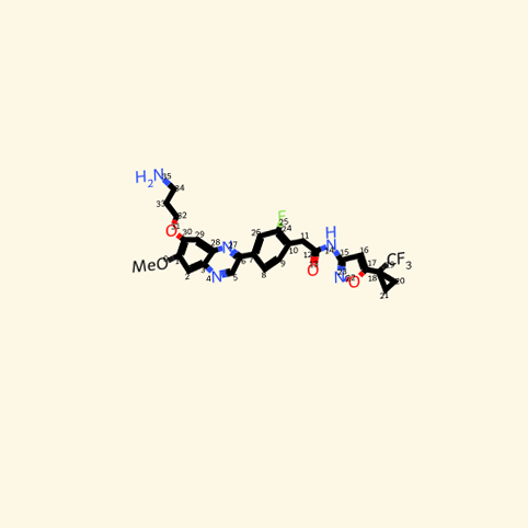 COc1cc2ncc(-c3ccc(CC(=O)Nc4cc(C5(C(F)(F)F)CC5)on4)c(F)c3)nc2cc1OCCCN